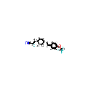 N#C/C(F)=C/[C@H]1CC[C@H](CCc2ccc(OC(F)(F)F)cc2)CC1